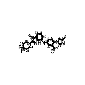 Cc1cn(-c2ccc(Nc3cccc4c3nc(N3CCC(F)(F)CC3)n4C)cc2C=O)cn1